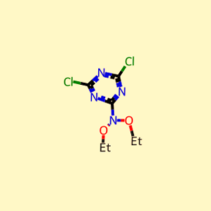 CCON(OCC)c1nc(Cl)nc(Cl)n1